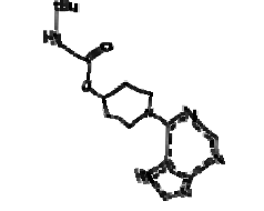 CC(C)(C)NC(=O)OC1CCN(c2ncnc3nc[nH]c23)CC1